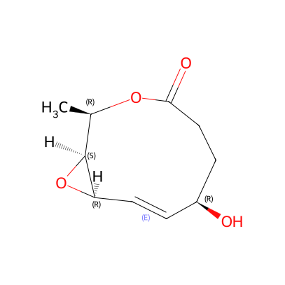 C[C@H]1OC(=O)CC[C@@H](O)/C=C/[C@H]2O[C@@H]12